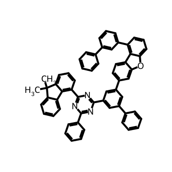 CC1(C)c2ccccc2-c2c(-c3nc(-c4ccccc4)nc(-c4cc(-c5ccccc5)cc(-c5ccc6c(c5)oc5cccc(-c7cccc(-c8ccccc8)c7)c56)c4)n3)cccc21